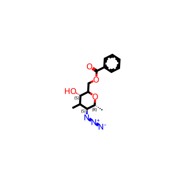 CC1[C@H](O)C(COC(=O)c2ccccc2)O[C@H](C)[C@H]1N=[N+]=[N-]